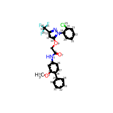 COc1cc(NC(=O)COc2cc(C(F)(F)F)nn2-c2ccccc2Cl)ccc1-c1ccccc1